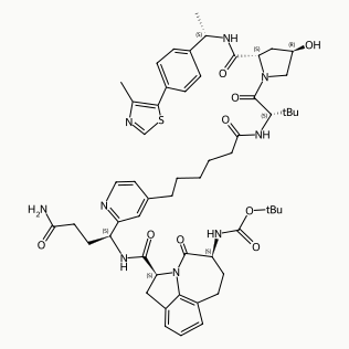 Cc1ncsc1-c1ccc([C@H](C)NC(=O)[C@@H]2C[C@@H](O)CN2C(=O)[C@@H](NC(=O)CCCCCc2ccnc([C@H](CCC(N)=O)NC(=O)[C@@H]3Cc4cccc5c4N3C(=O)[C@@H](NC(=O)OC(C)(C)C)CC5)c2)C(C)(C)C)cc1